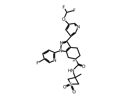 CC1(NC(=O)[C@@H]2CCc3c(-c4cncc(OC(F)F)c4)nn(-c4ccc(F)cn4)c3C2)CS(=O)(=O)C1